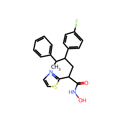 CC(c1ccccc1)C(CC(C(=O)NO)c1nccs1)c1ccc(F)cc1